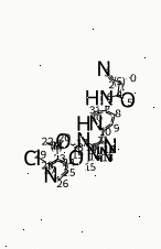 C[C@@H](C#N)C(=O)Nc1ccc(-c2nnn(C)c2NC(=O)O[C@H](C)c2cccnc2Cl)nc1